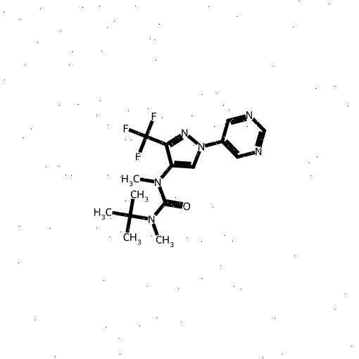 CN(C(=O)N(C)C(C)(C)C)c1cn(-c2cncnc2)nc1C(F)(F)F